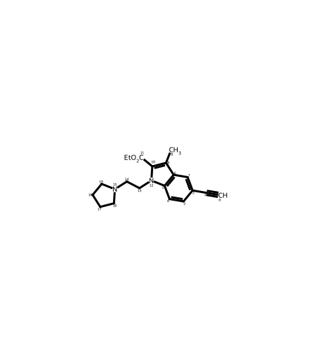 C#Cc1ccc2c(c1)c(C)c(C(=O)OCC)n2CCN1CCCC1